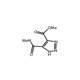 CNC(=O)c1[nH]nnc1C(=O)OC